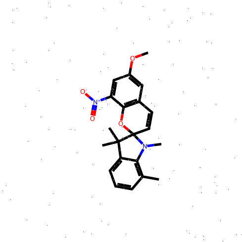 COc1cc2c(c([N+](=O)[O-])c1)OC1(C=C2)N(C)c2c(C)cccc2C1(C)C